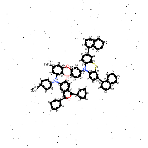 CC(C)(C)c1ccc(N2c3cc4c(-c5ccccc5)oc(-c5ccccc5)c4cc3B3c4ccc(N5c6ccc(-c7cccc8ccccc78)cc6Sc6cc(-c7cccc8ccccc78)ccc65)cc4Oc4cc(C(C)(C)C)cc2c43)cc1